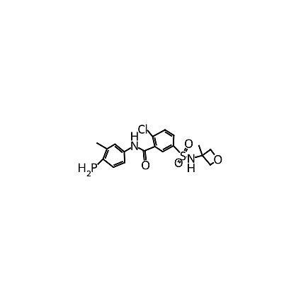 Cc1cc(NC(=O)c2cc(S(=O)(=O)NC3(C)COC3)ccc2Cl)ccc1P